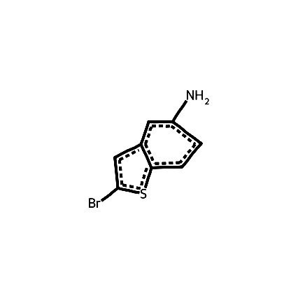 Nc1ccc2sc(Br)cc2c1